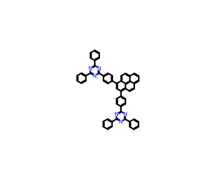 c1ccc(-c2nc(-c3ccccc3)nc(-c3ccc(-c4cc(-c5ccc(-c6nc(-c7ccccc7)nc(-c7ccccc7)n6)cc5)c5ccc6cccc7ccc4c5c76)cc3)n2)cc1